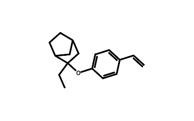 C=Cc1ccc(OC2(CC)CC3CCC2C3)cc1